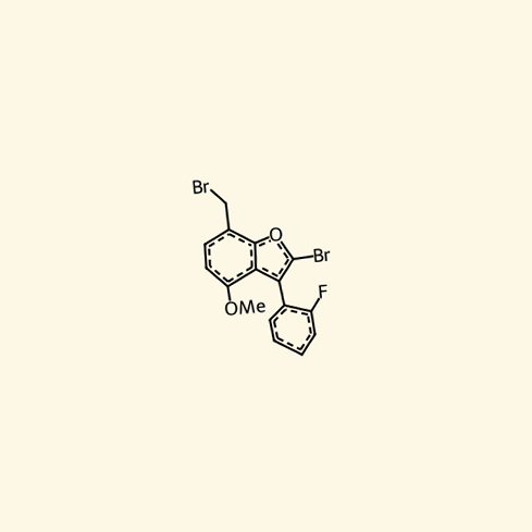 COc1ccc(CBr)c2oc(Br)c(-c3ccccc3F)c12